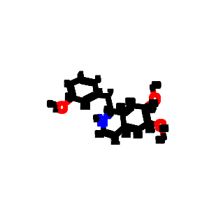 COc1cccc(Cc2nccc3cc(OC)c(OC)cc23)c1